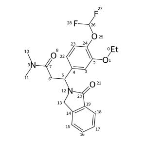 CCOc1cc(C(CC(=O)N(C)C)N2Cc3ccc[c]c3C2=O)ccc1OC(F)F